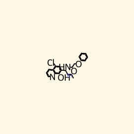 C/C=C/C(NC(=O)COc1ccccc1)c1cc(Cl)c2cccnc2c1O